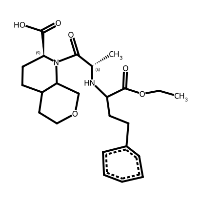 CCOC(=O)C(CCc1ccccc1)N[C@@H](C)C(=O)N1C2COCCC2CC[C@H]1C(=O)O